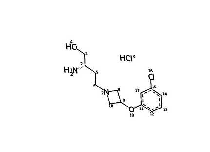 Cl.N[C@H](CO)CCN1CC(Oc2cccc(Cl)c2)C1